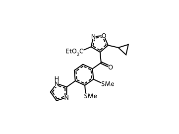 CCOC(=O)c1noc(C2CC2)c1C(=O)c1ccc(-c2ncc[nH]2)c(SC)c1SC